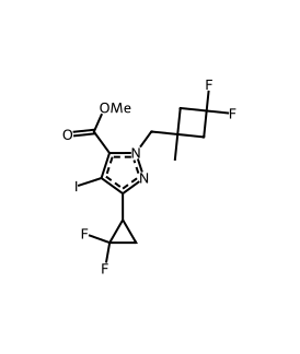 COC(=O)c1c(I)c(C2CC2(F)F)nn1CC1(C)CC(F)(F)C1